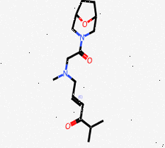 CC(C)C(=O)/C=C/CN(C)CC(=O)N1CC2CCC(C1)O2